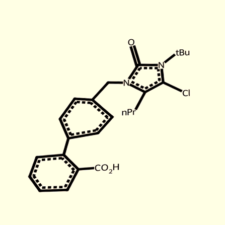 CCCc1c(Cl)n(C(C)(C)C)c(=O)n1Cc1ccc(-c2ccccc2C(=O)O)cc1